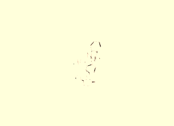 O=C1CCC(=O)N1c1ccc(-n2nc3ccccc3n2)c(O)c1